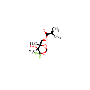 C=C(C)C(=O)OCC1(C)OCOC(F)(F)C1(O)C(F)(F)F